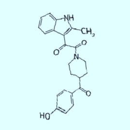 Cc1[nH]c2ccccc2c1C(=O)C(=O)N1CCC(C(=O)c2ccc(O)cc2)CC1